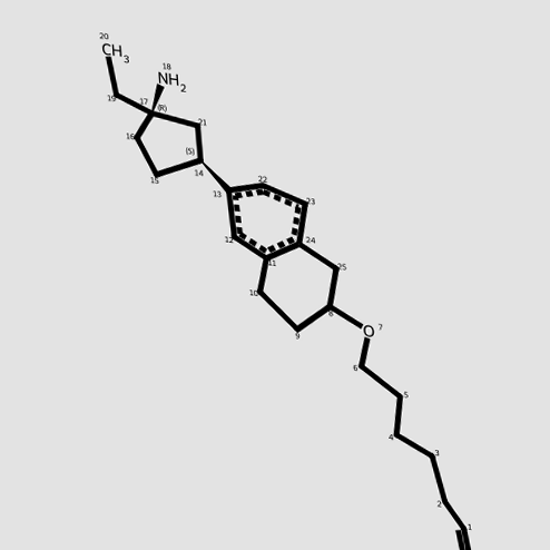 C=CCCCCCOC1CCc2cc([C@H]3CC[C@](N)(CC)C3)ccc2C1